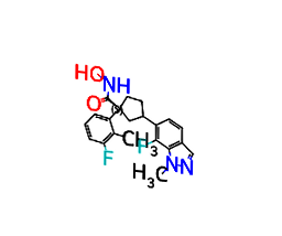 Cc1c(F)cccc1[C@]1(C(=O)NO)CCC(c2ccc3cnn(C)c3c2F)C1